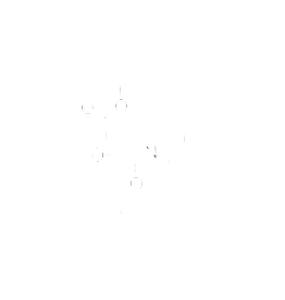 CCOC(=O)C1OC1C(=NCC1CCCCC1)OCC